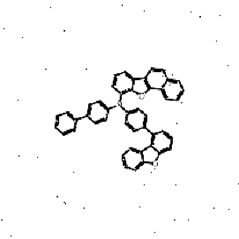 c1ccc(-c2ccc(N(c3ccc(-c4cccc5oc6ccccc6c45)cc3)c3cccc4c3oc3c5ccccc5ccc43)cc2)cc1